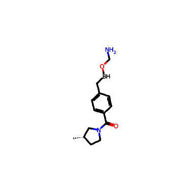 C[C@H]1CCN(C(=O)c2ccc(CBOCN)cc2)C1